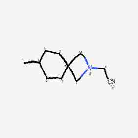 CC1CCC2(CC1)CN(CC#N)C2